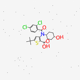 CC(C)(C)c1cc(N(C(=O)c2ccc(Cl)cc2Cl)C2CCC(O)CC2)c(C(=O)O)s1